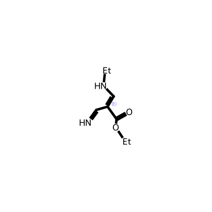 CCN/C=C(\C=N)C(=O)OCC